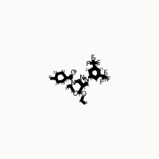 CCOC(=O)c1cn(-c2cc(C(F)(F)F)cc(C(F)(F)F)c2)nc1N(C(=O)C1CCC(C)CC1)C(C)C